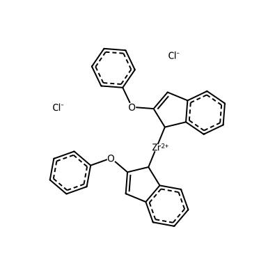 C1=C(Oc2ccccc2)[CH]([Zr+2][CH]2C(Oc3ccccc3)=Cc3ccccc32)c2ccccc21.[Cl-].[Cl-]